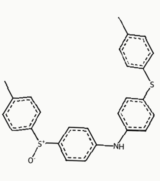 Cc1ccc(Sc2ccc(Nc3ccc([S+]([O-])c4ccc(C)cc4)cc3)cc2)cc1